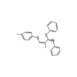 CC(=CSc1ccc(C)cc1)C(=Nc1ccccc1)Sc1ccccc1